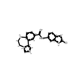 O=C(Nc1ccc2sc(Cl)nc2c1)c1ccc2c(c1)-c1cncn1CCO2